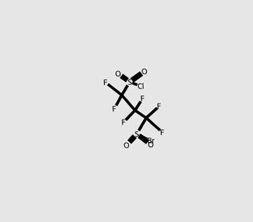 O=S(=O)(Cl)C(F)(F)C(F)(F)C(F)(F)S(=O)(=O)Br